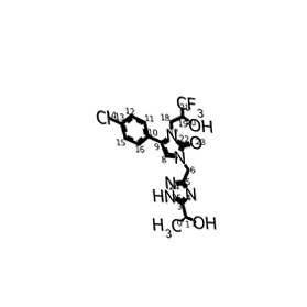 C[C@H](O)c1nc(Cn2cc(-c3ccc(Cl)cc3)n(CC(O)C(F)(F)F)c2=O)n[nH]1